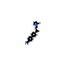 CC1CCCN1CC[C@H]1C[C@@H]1c1ccc(-c2ccc(C#N)cc2)cc1